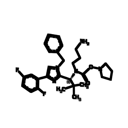 CC(C)(C)[C@H](c1nc(-c2cc(F)ccc2F)cn1Cc1ccccc1)N(CCCN)C(=O)ON1CCCC1